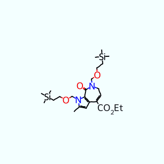 CCOC(=O)C1=CCN(COCC[Si](C)(C)C)C(=O)c2c1cc(C)n2COCC[Si](C)(C)C